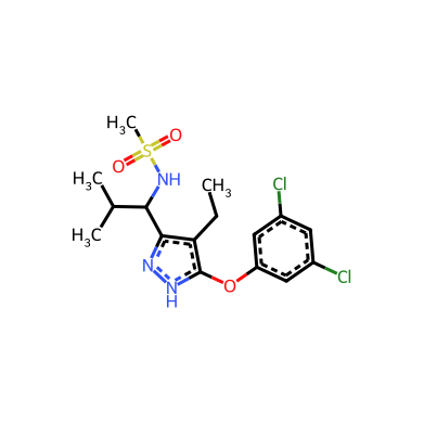 CCc1c(C(NS(C)(=O)=O)C(C)C)n[nH]c1Oc1cc(Cl)cc(Cl)c1